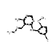 CON=Cc1c(N)ncnc1Nc1cc(Cl)ccc1OC